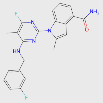 Cc1c(F)nc(-n2c(C)cc3c(C(N)=O)cccc32)nc1NCc1cccc(F)c1